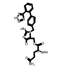 CCCCc1nc(Cl)c(COC(=O)[C@H](CCC(N)=O)NC)n1Cc1ccc(-c2ccccc2-c2nn[nH]n2)cc1